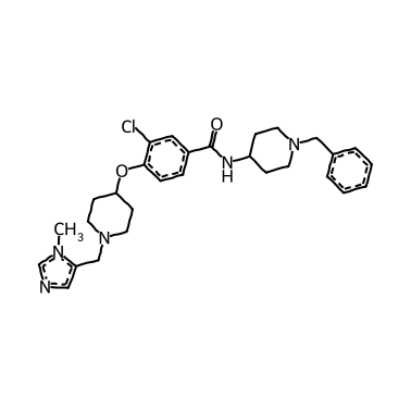 Cn1cncc1CN1CCC(Oc2ccc(C(=O)NC3CCN(Cc4ccccc4)CC3)cc2Cl)CC1